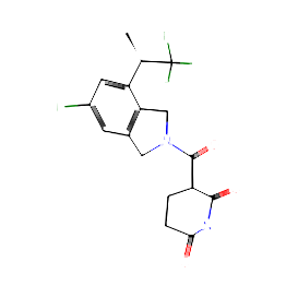 C[C@H](c1cc(F)cc2c1CN(C(=O)C1CCC(=O)NC1=O)C2)C(F)(F)F